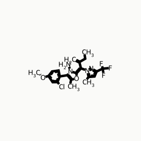 C=C(CC)/C(=C1/OC(C)=C(c2ccc(OC)cc2Cl)N1N)n1nc(C(F)(F)F)cc1C